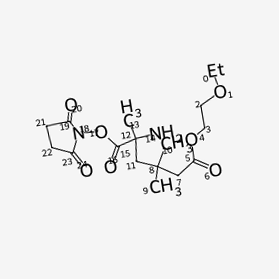 CCOCCOC(=O)CC(C)(C)CC(C)(N)C(=O)ON1C(=O)CCC1=O